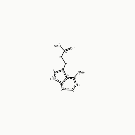 CNc1nccc2[nH]nc(CCC(=O)OC)c12